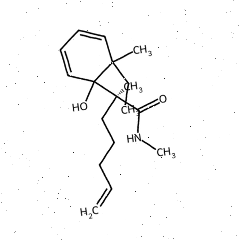 C=CCCC[C@](C)(C(=O)NC)C1(O)C=CC=CC1(C)CC